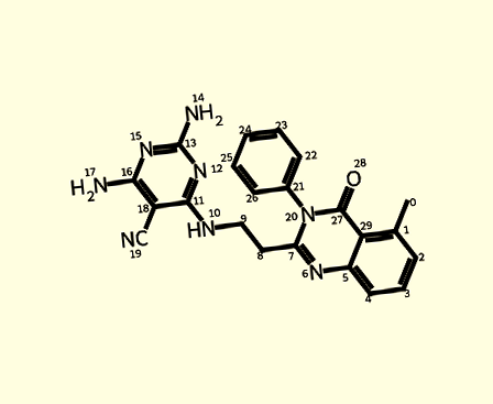 Cc1cccc2nc(CCNc3nc(N)nc(N)c3C#N)n(-c3ccccc3)c(=O)c12